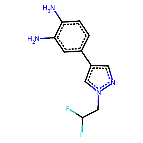 Nc1ccc(-c2cnn(CC(F)F)c2)cc1N